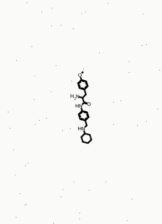 COc1ccc(CC(N)C(=O)Nc2ccc(CNC3CCCCC3)cc2)cc1